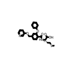 CSCC[C@H](NC(=O)c1ccc(COc2cccnc2)cc1Oc1ccccc1)C(=O)O